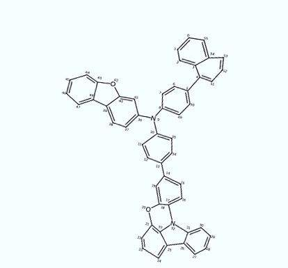 c1ccc2c(-c3ccc(N(c4ccc(-c5ccc6c(c5)Oc5cccc7c8ccccc8n-6c57)cc4)c4ccc5c(c4)oc4ccccc45)cc3)cccc2c1